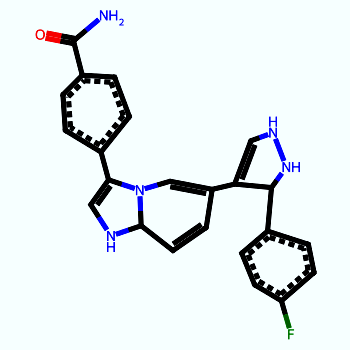 NC(=O)c1ccc(C2=CNC3C=CC(C4=CNNC4c4ccc(F)cc4)=CN23)cc1